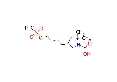 CC1(C)C[C@H](CCCCOS(C)(=O)=O)CN1C(=O)O